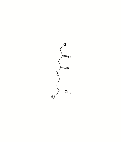 CC(C)CCOC(=O)CC(=O)CCl